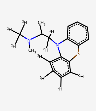 [2H]c1c([2H])c([2H])c2c(c1[2H])Sc1ccccc1N2C([2H])([2H])C(C)N(C)C([2H])([2H])[2H]